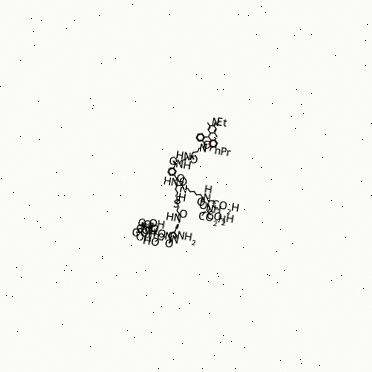 CCCc1cc2c(cc1C)C(c1ccccc1C(=O)N(C)CCCC(=O)NCCNC(=O)c1cccc(C(=O)NC(CCCSSCCC(=O)NCC#Cc3cn([C@H]4CC(O)[C@@H](COP(=O)(O)OP(=O)(O)OP(=O)(O)O)O4)c(=O)nc3N)C(=O)NCCCCCC(=O)NC(CC(=O)O)C(=O)NC(CC(=O)O)C(=O)O)c1)C1C=C(C)/C(=N/CC)C=C1C2